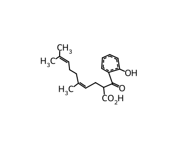 CC(C)=CCCC(C)=CCC(C(=O)O)C(=O)c1ccccc1O